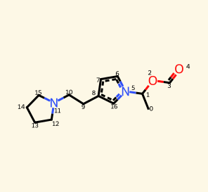 CC(OC=O)n1ccc(CCN2CCCC2)c1